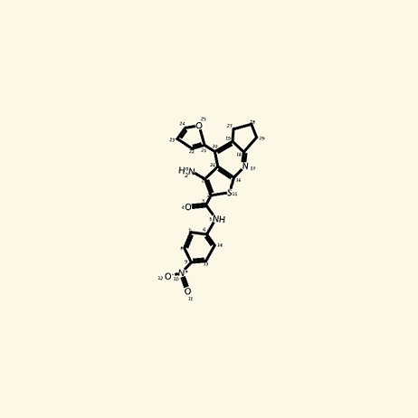 Nc1c(C(=O)Nc2ccc([N+](=O)[O-])cc2)sc2nc3c(c(-c4ccco4)c12)CCC3